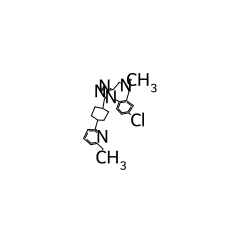 CCc1cccc(C2CCC(c3nnc4n3-c3ccc(Cl)cc3CN(C)C4)CC2)n1